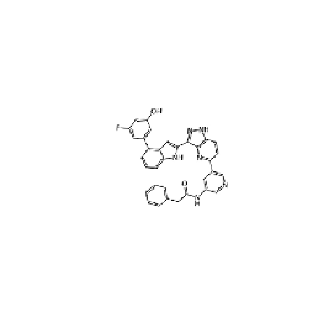 O=C(Cc1ccccc1)Nc1cncc(-c2ccc3[nH]nc(-c4cc5c(-c6cc(O)cc(F)c6)cccc5[nH]4)c3n2)c1